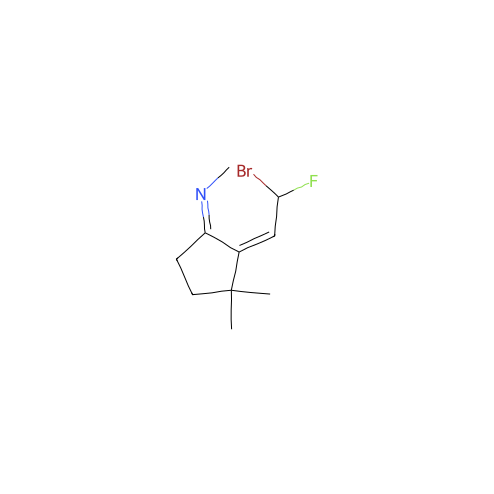 C/N=C1/CCC(C)(C)/C1=C/C(F)Br